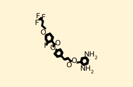 Nc1ccc(N)c(COC(=O)C=Cc2ccc(OC(=O)c3ccc(OCCCC(F)(F)F)cc3F)cc2)c1